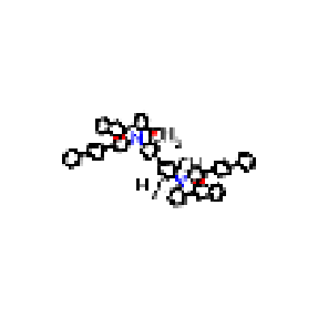 Cc1cc(-c2ccc(N(c3ccc(-c4ccc(-c5ccccc5)cc4)cc3)c3c(C)cccc3-c3ccc4ccccc4c3)c(C)c2)ccc1N(c1ccc(-c2ccc(-c3ccccc3)cc2)cc1)c1c(C)cccc1-c1ccc2ccccc2c1